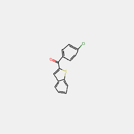 O=C(c1ccc(Cl)cc1)c1cc2ccccc2s1